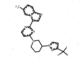 FC(F)(F)c1ccc2ncc(-c3nccc(N4CCCC(n5ccc(C(F)(F)I)n5)C4)n3)n2c1